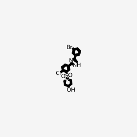 O=S(=O)(c1cc(-c2nc(-c3cccc(Br)c3)c[nH]2)ccc1Cl)N1CCC(O)CC1